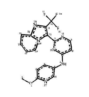 COc1ccc(Nc2ccnc(-c3c(C(F)(F)F)nc4ccccn34)n2)cn1